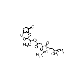 CC(=O)O[C@@H](CC(=O)O[C@@H](C)C(=O)ON1C(=O)CCC1=O)C(=O)OCC(C)C